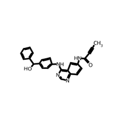 CC#CC(=O)Nc1ccc2ncnc(Nc3ccc(C(O)c4ccccc4)cc3)c2c1